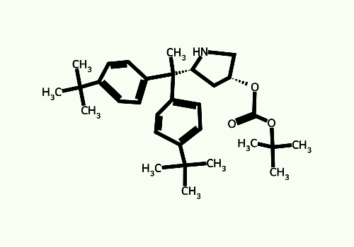 CC(C)(C)OC(=O)O[C@H]1CN[C@@H](C(C)(c2ccc(C(C)(C)C)cc2)c2ccc(C(C)(C)C)cc2)C1